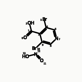 O=C(O)c1c(Br)cncc1Br.O=NO